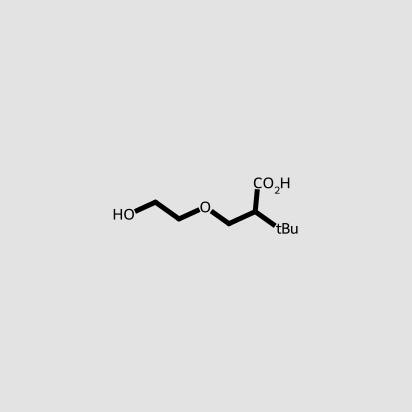 CC(C)(C)C(COCCO)C(=O)O